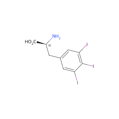 N[C@@H](Cc1cc(I)c(I)c(I)c1)C(=O)O